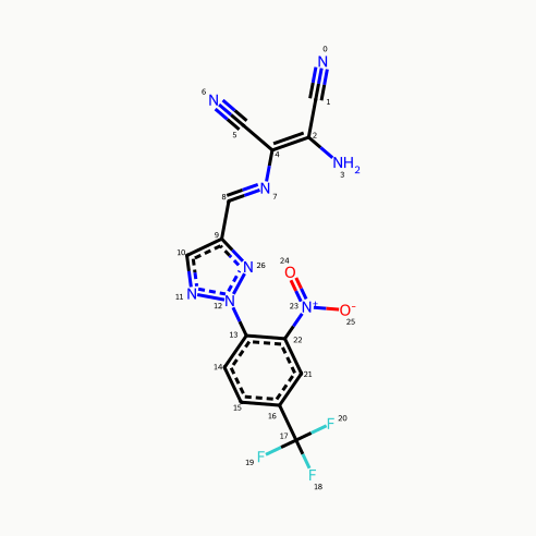 N#CC(N)=C(C#N)N=Cc1cnn(-c2ccc(C(F)(F)F)cc2[N+](=O)[O-])n1